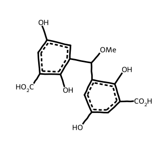 COC(c1cc(O)cc(C(=O)O)c1O)c1cc(O)cc(C(=O)O)c1O